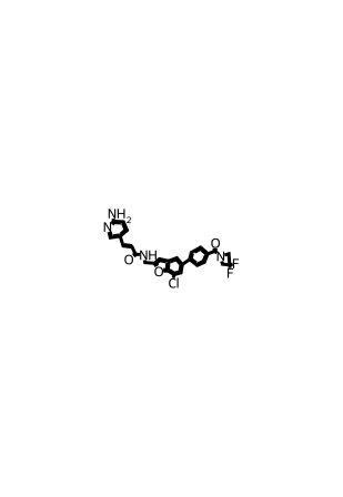 Nc1ccc(C=CC(=O)NCc2cc3cc(-c4ccc(C(=O)N5CC(F)(F)C5)cc4)cc(Cl)c3o2)cn1